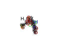 CS(=O)(=O)c1cccc(C[C@H](NC(=O)c2c(Cl)cc3c(c2Cl)CCN(C(=O)c2ccc4ccoc4c2)C3)C(=O)OCCOC(=O)CCCC[C@@H]2CCS[S+]2[O-])c1